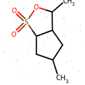 CC1CC2C(C)OS(=O)(=O)C2C1